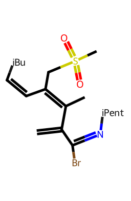 C=C(/C(Br)=N\C(C)CCC)/C(C)=C(\C=C/C(C)CC)CS(C)(=O)=O